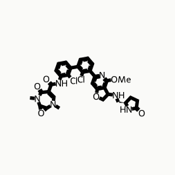 COc1nc(-c2cccc(-c3cccc(NC(=O)C4=CN(C)C5OC5N(C)C4=O)c3Cl)c2Cl)cc2c1C(NC[C@@H]1CCC(=O)N1)CO2